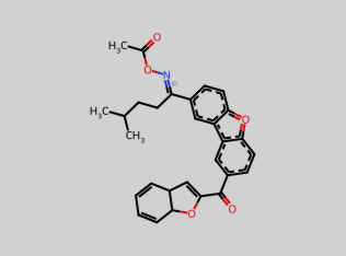 CC(=O)O/N=C(\CCC(C)C)c1ccc2oc3ccc(C(=O)C4=CC5C=CC=CC5O4)cc3c2c1